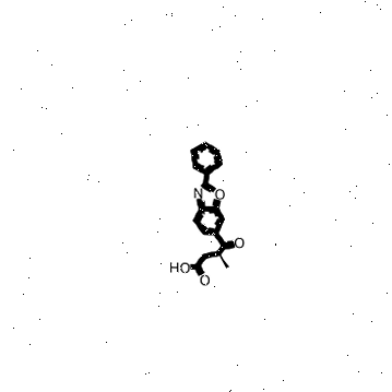 C[C@@H](CC(=O)O)C(=O)c1ccc2nc(-c3ccccc3)oc2c1